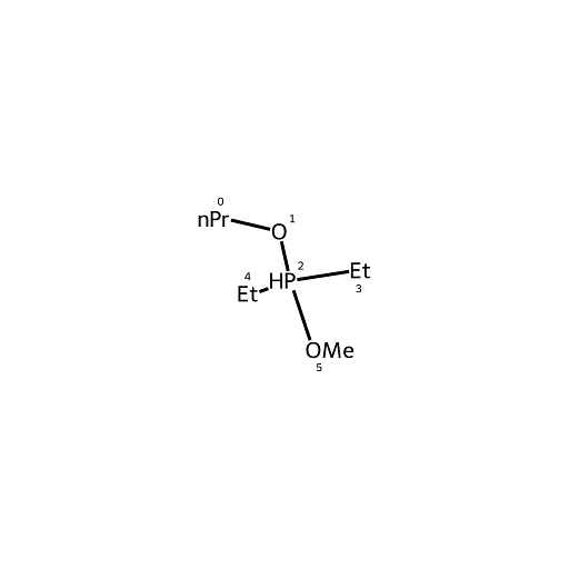 CCCO[PH](CC)(CC)OC